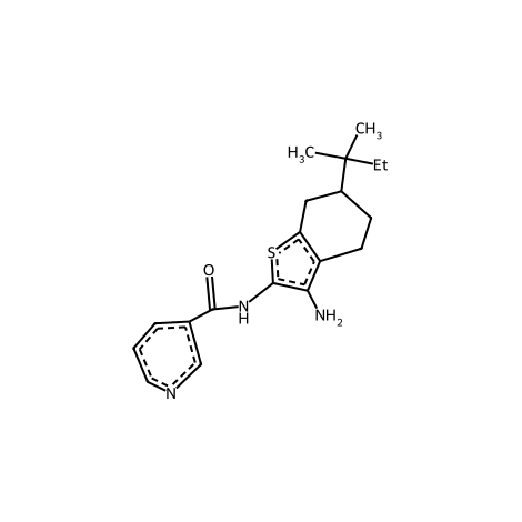 CCC(C)(C)C1CCc2c(sc(NC(=O)c3cccnc3)c2N)C1